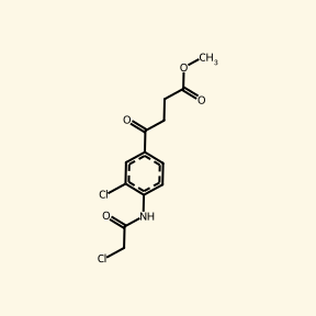 COC(=O)CCC(=O)c1ccc(NC(=O)CCl)c(Cl)c1